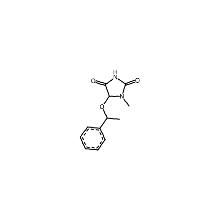 CC(OC1C(=O)NC(=O)N1C)c1ccccc1